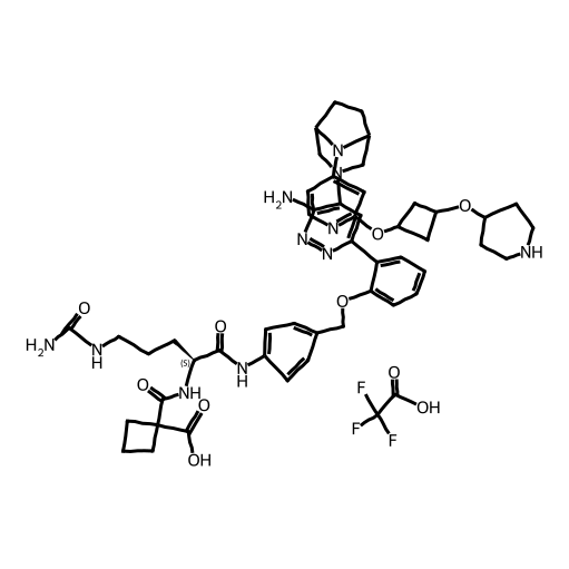 NC(=O)NCCC[C@H](NC(=O)C1(C(=O)O)CCC1)C(=O)Nc1ccc(COc2ccccc2-c2cc(N3CC4CCC(C3)N4c3ccnc(OC4CC(OC5CCNCC5)C4)c3)c(N)nn2)cc1.O=C(O)C(F)(F)F